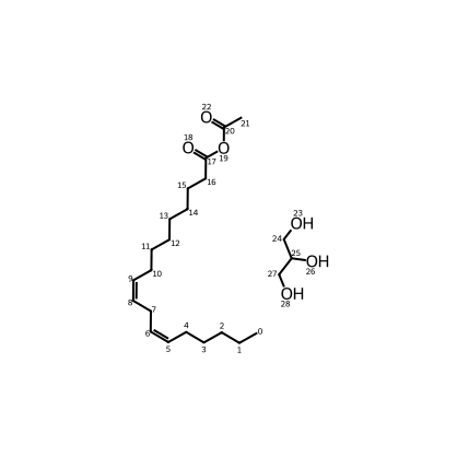 CCCCC/C=C\C/C=C\CCCCCCCC(=O)OC(C)=O.OCC(O)CO